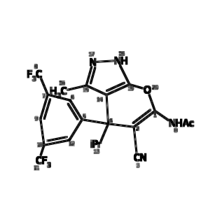 CC(=O)NC1=C(C#N)C(c2cc(C(F)(F)F)cc(C(F)(F)F)c2)(C(C)C)c2c(C)n[nH]c2O1